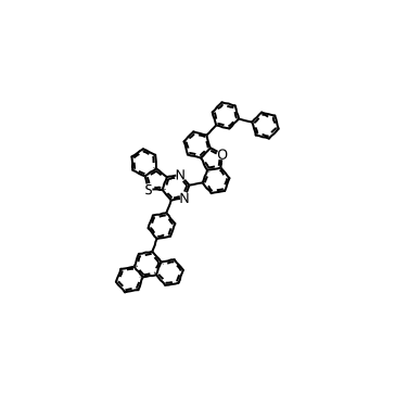 c1ccc(-c2cccc(-c3cccc4c3oc3cccc(-c5nc(-c6ccc(-c7cc8ccccc8c8ccccc78)cc6)c6sc7ccccc7c6n5)c34)c2)cc1